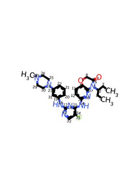 CCC(CC)N1C(=O)COc2ccc(Nc3nc(Nc4cccc(N5CCN(C)CC5)c4)ncc3F)nc21